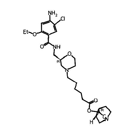 CCOc1cc(N)c(Cl)cc1C(=O)NC[C@@H]1CN(CCCCCC(=O)O[C@H]2CN3CCC2CC3)CCO1